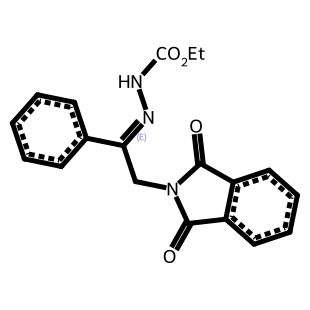 CCOC(=O)N/N=C(/CN1C(=O)c2ccccc2C1=O)c1ccccc1